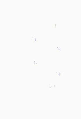 CC(C)(C)Nc1ncnc(Cl)n1